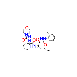 CCCC[C@H](NC(=O)C1(NC(=O)N2CCOCC2)CCCCC1)C(=O)C(=O)Nc1ccccc1C